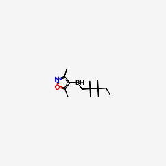 CCC(C)(C)C(C)(C)CBc1c(C)noc1C